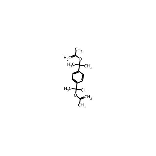 C=C(C)OC(C)(C)c1ccc(C(C)(C)OC(=C)C)cc1